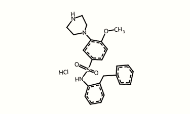 COc1ccc(S(=O)(=O)Nc2ccccc2Cc2ccccc2)cc1N1CCNCC1.Cl